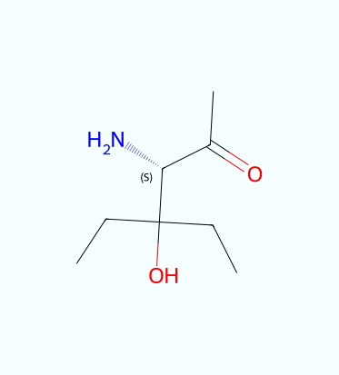 CCC(O)(CC)[C@H](N)C(C)=O